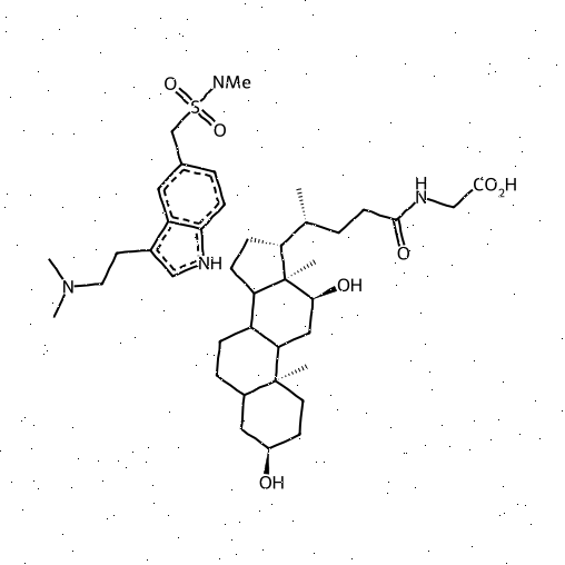 CNS(=O)(=O)Cc1ccc2[nH]cc(CCN(C)C)c2c1.C[C@H](CCC(=O)NCC(=O)O)[C@H]1CCC2C3CCC4C[C@H](O)CC[C@]4(C)C3C[C@H](O)[C@@]21C